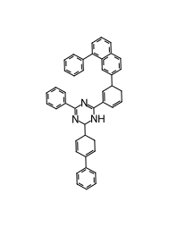 C1=CC(C2=NC(c3ccccc3)=NC(C3C=CC(c4ccccc4)=CC3)N2)=CC(c2ccc3cccc(-c4ccccc4)c3c2)C1